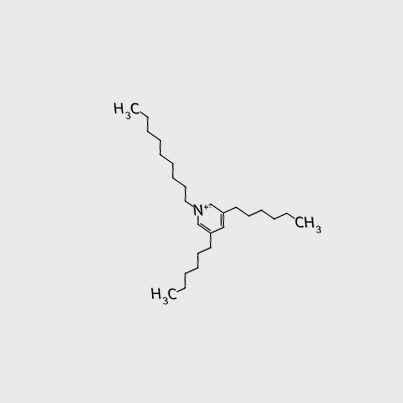 CCCCCCCCC[n+]1cc(CCCCCC)cc(CCCCCC)c1